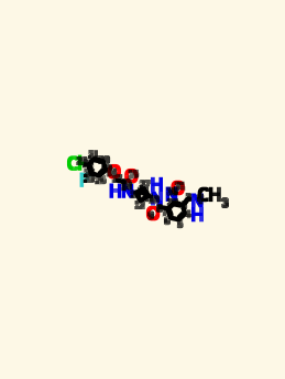 CNCc1cccc(C(=O)NC23CC(NC(=O)COc4ccc(Cl)c(F)c4)(C2)C3)c1N=O